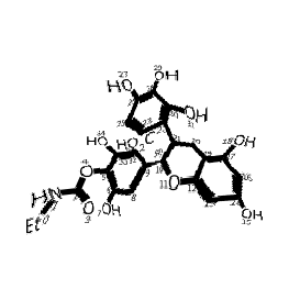 CCNC(=O)Oc1c(O)cc([C@@H]2Oc3cc(O)cc(O)c3CC2c2c(C(=O)O)cc(O)c(O)c2O)cc1O